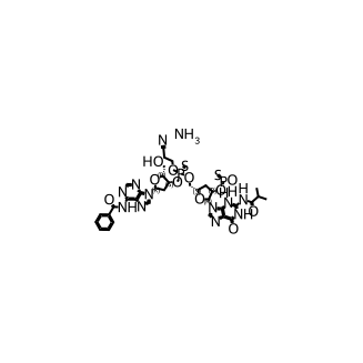 CC(C)C(=O)Nc1nc2c(ncn2[C@@H]2O[C@H](COP(=S)(OCCC#N)O[C@H]3C[C@H](n4cnc5c(NC(=O)c6ccccc6)ncnc54)O[C@@H]3CO)C[C@H]2O[PH](O)=S)c(=O)[nH]1.N